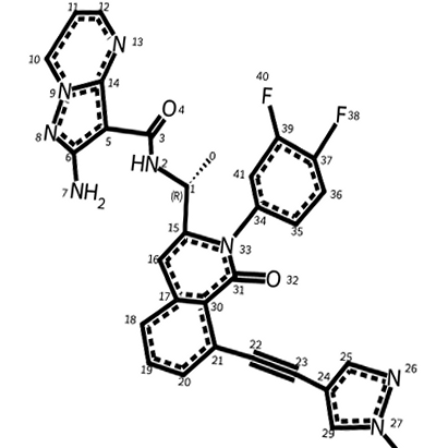 C[C@@H](NC(=O)c1c(N)nn2cccnc12)c1cc2cccc(C#Cc3cnn(C)c3)c2c(=O)n1-c1ccc(F)c(F)c1